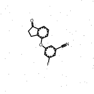 N#Cc1cc(F)cc(Oc2cccc3c2CCC3=O)c1